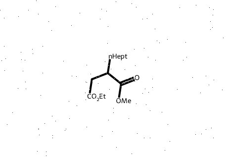 CCCCCCCC(CC(=O)OCC)C(=O)OC